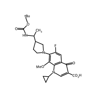 COc1c(N2CCC(C(C)NC(=O)OC(C)(C)C)C2)c(F)cc2c(=O)c(C(=O)O)cn(C3CC3)c12